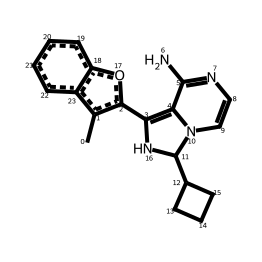 Cc1c(C2=C3C(N)=NC=CN3C(C3CCC3)N2)oc2ccccc12